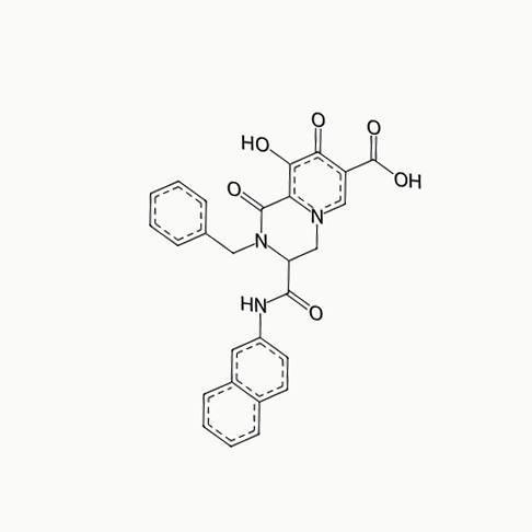 O=C(O)c1cn2c(c(O)c1=O)C(=O)N(Cc1ccccc1)C(C(=O)Nc1ccc3ccccc3c1)C2